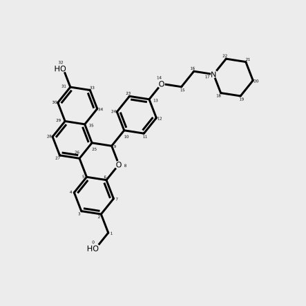 OCc1ccc2c(c1)OC(c1ccc(OCCN3CCCCC3)cc1)c1c-2ccc2cc(O)ccc12